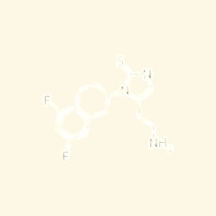 NCCC1=C[N]C(=S)N1[C@H]1CCc2c(F)cc(F)cc2C1